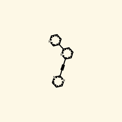 C(#Cc1ncccn1)c1cccc(-c2cccnc2)n1